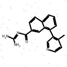 Cc1ccncc1-c1cccc2ccc(C(=O)N=C(N)N)cc12